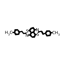 Cc1ccc(/C=C/C2=Nc3ccc4c5c(ccc(c35)S2)N=C(CCc2ccc(C)cc2)S4)cc1